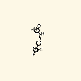 O=C1C[C@H](NCC[C@H]2CC[C@H](c3ncc(F)cc3Cl)CC2)CCN1